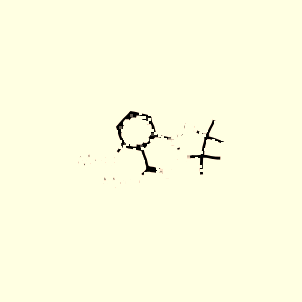 COC(=O)c1c(OC)cccc1B1OC(C)(C)C(C)(C)O1